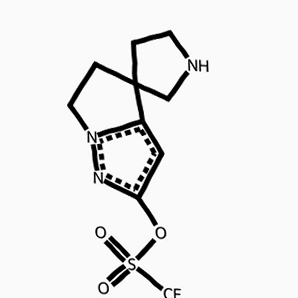 O=S(=O)(Oc1cc2n(n1)CCC21CCNC1)C(F)(F)F